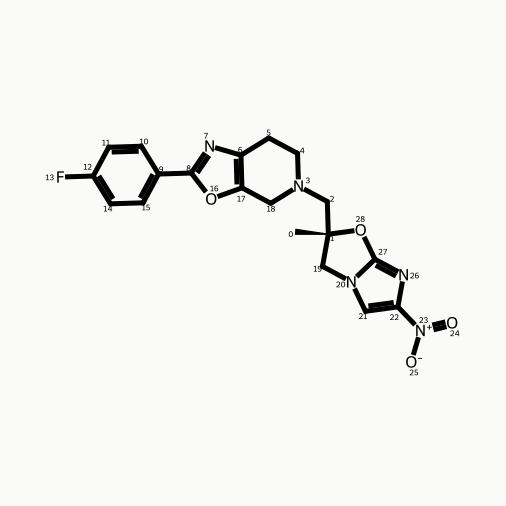 C[C@]1(CN2CCc3nc(-c4ccc(F)cc4)oc3C2)Cn2cc([N+](=O)[O-])nc2O1